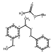 CC(C)(C)OC(N)=O.CC(CCc1ccccc1)c1cccc(CO)n1